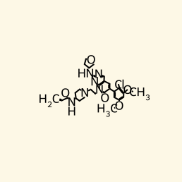 C=CC(=O)NC1CCN(CCn2c(=O)c(-c3cc(OC)cc(OC)c3Cl)cc3cnc(NC4CCOC4)nc32)CC1